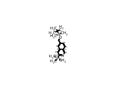 CC(C)(C)[Si](C)(C)OCc1ccc2cn[c]([Sn]([CH3])([CH3])[CH3])cc2c1